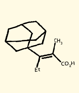 CCC(=C(C)C(=O)O)C12CC3CC(CC(C3)C1)C2